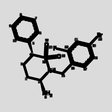 N[C@H]1CC[C@H](c2ccccc2)S(=O)(=O)N1Cc1ccc(Br)cc1F